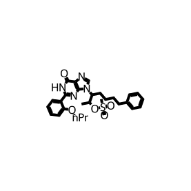 CCCOc1ccccc1-c1nc2c(ncn2C(CCCCc2ccccc2)C(C)OS(C)(=O)=O)c(=O)[nH]1